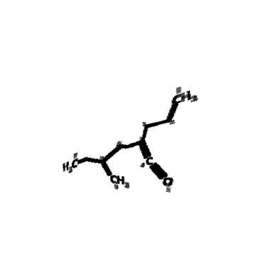 CCCC(=C=O)[CH]C(C)C